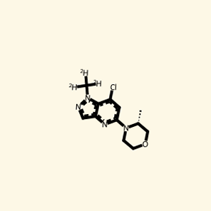 [2H]C([2H])([2H])n1ncc2nc(N3CCOC[C@H]3C)cc(Cl)c21